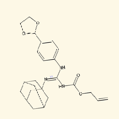 C=CCOC(=O)N/C(=N\C12CC3CC(CC(C3)C1)C2)Nc1ccc(C2OCCO2)cc1